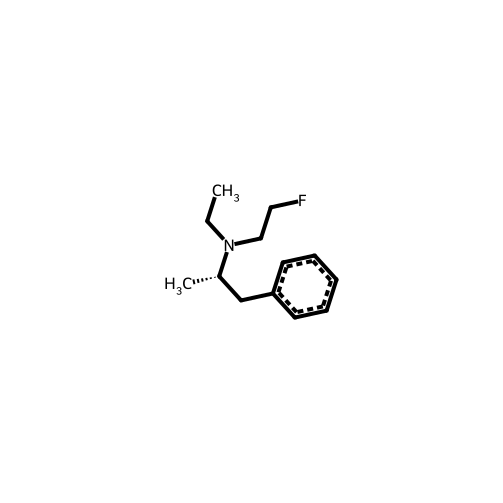 CCN(CCF)[C@@H](C)Cc1ccccc1